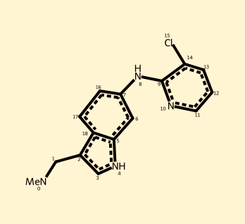 CNCc1c[nH]c2cc(Nc3ncccc3Cl)ccc12